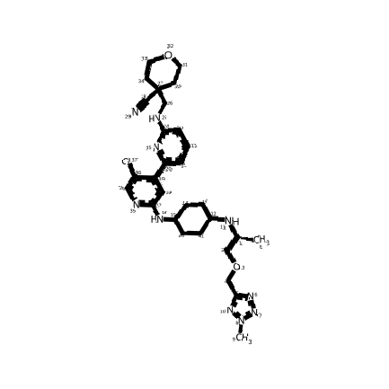 C[C@@H](COCc1nnn(C)n1)NC1CCC(Nc2cc(-c3cccc(NCC4(C#N)CCOCC4)n3)c(Cl)cn2)CC1